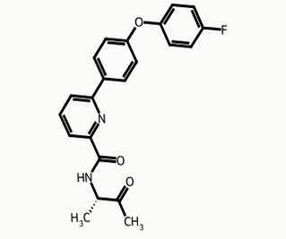 CC(=O)[C@H](C)NC(=O)c1cccc(-c2ccc(Oc3ccc(F)cc3)cc2)n1